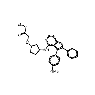 COc1ccc(-c2c(-c3ccccc3)oc3ncnc(N[C@H]4CC[C@@H](OCC(=O)OC(C)(C)C)C4)c23)cc1